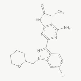 C[C@H]1C(=O)Nc2nc(-c3nn(CC4CCCCO4)c4cc(Cl)ccc34)nc(N)c21